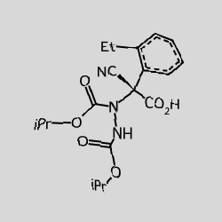 CCc1ccccc1[C@](C#N)(C(=O)O)N(NC(=O)OC(C)C)C(=O)OC(C)C